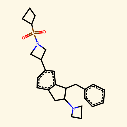 O=S(=O)(C1CCC1)N1CC(c2ccc3c(c2)C(Cc2ccccc2)C(N2CCC2)C3)C1